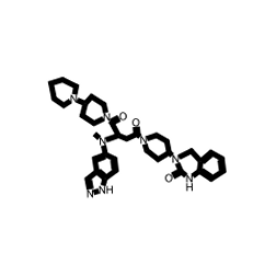 CN(c1ccc2[nH]ncc2c1)C(CC(=O)N1CCC(N2Cc3ccccc3NC2=O)CC1)C(=O)N1CCC(N2CCCCC2)CC1